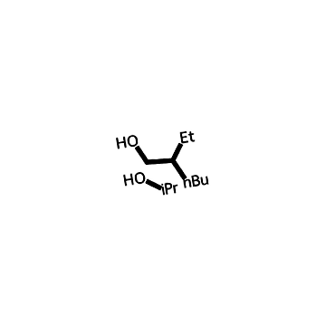 CC(C)O.CCCCC(CC)CO